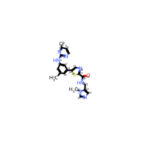 Cc1cc(Nc2nccc(C(F)(F)F)n2)cc(-c2cnc(C(=O)NCc3cncn3C)s2)c1